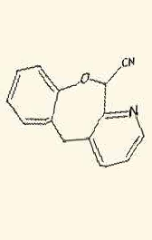 N#CC1Oc2ccccc2Cc2cccnc21